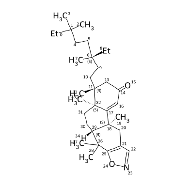 CCC(C)(C)CC[C@](C)(CC)CC[C@]1(C)CC(=O)C=C2[C@@]3(C)Cc4cnoc4C(C)(C)[C@@H]3CC[C@]21C